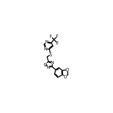 FC(F)(F)c1cc(SCc2nc(-c3ccc4c(c3)OCO4)no2)ncn1